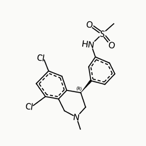 CN1Cc2c(Cl)cc(Cl)cc2[C@@H](c2cccc(NS(C)(=O)=O)c2)C1